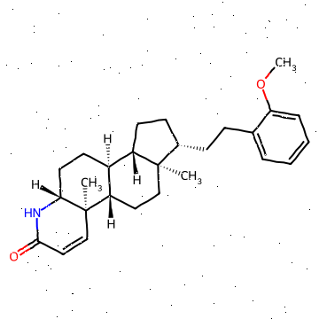 COc1ccccc1CC[C@H]1CC[C@H]2[C@@H]3CC[C@H]4NC(=O)C=C[C@]4(C)[C@H]3CC[C@]12C